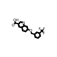 O=C(O)c1cnc2cc(OCc3cccc(C(F)(F)F)c3)ccc2c1